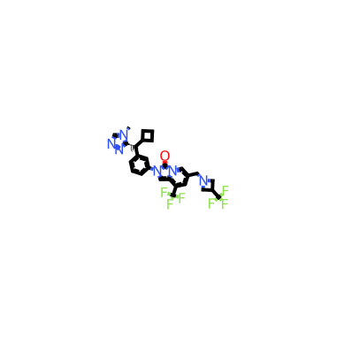 Cn1cnnc1[C@@H](c1cccc(-n2cc3c(C(F)(F)F)cc(CN4CC(C(F)(F)F)C4)cn3c2=O)c1)C1CCC1